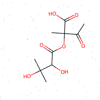 CC(=O)C(C)(OC(=O)C(O)C(C)(C)O)C(=O)O